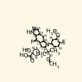 COCC(C)(C)c1c([C@@H]2CC[C@@](O)(C(=O)O)C2)c2c(F)c3[nH]ncc3cc2n1-c1ccc(F)c(OC)c1